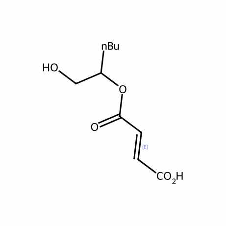 CCCCC(CO)OC(=O)/C=C/C(=O)O